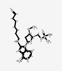 CO[C@@H]1C[C@H](n2c(NCCCCCCC=O)nc3c(N)ncnc32)O[C@@H]1COP(C)(=O)O